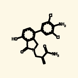 C=C(CN1Cc2c(-c3cc(Cl)c(N)c(Cl)c3)ccc(O)c2C1=O)C(N)=O